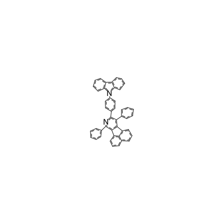 c1ccc(-c2nc(-c3ccc(-n4c5ccccc5c5ccccc54)cc3)c(-c3ccccc3)c3c2-c2cccc4cccc-3c24)cc1